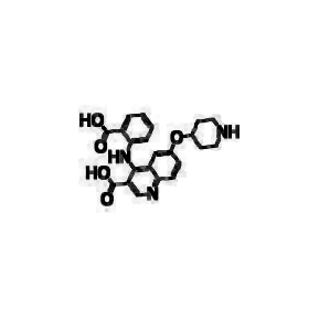 O=C(O)c1ccccc1Nc1c(C(=O)O)cnc2ccc(OC3CCNCC3)cc12